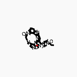 C=CC(=O)N1C[C@H](C)N(c2nc(=O)n3c4nc(c(F)cc24)-c2c(F)cccc2N(C)C(=O)CCN(C)c2ccnc(C(C)C)c2-3)C[C@H]1C